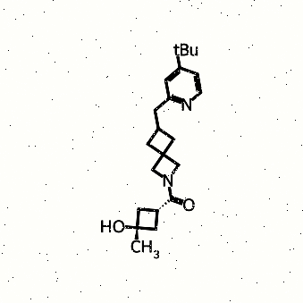 CC(C)(C)c1ccnc(CC2CC3(C2)CN(C(=O)[C@H]2C[C@@](C)(O)C2)C3)c1